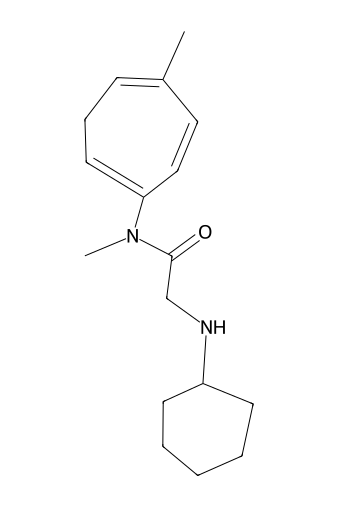 CC1=CCC=C(N(C)C(=O)CNC2CCCCC2)C=C1